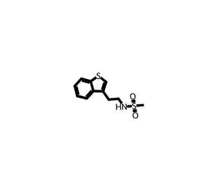 CS(=O)(=O)NCCc1csc2ccccc12